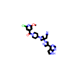 COc1cc(C(=O)N2CCC(N3CC(CC#N)(n4cc(-c5ncnc6[nH]ccc56)cn4)C3)CC2)cc(Cl)n1